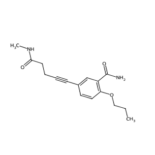 CCCOc1ccc(C#CCCC(=O)NC)cc1C(N)=O